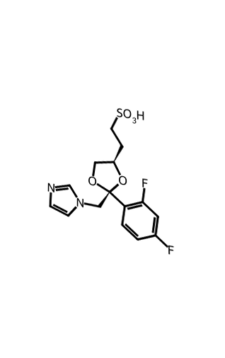 O=S(=O)(O)CC[C@@H]1CO[C@@](Cn2ccnc2)(c2ccc(F)cc2F)O1